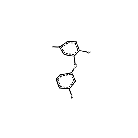 Cc1ccc(F)c(Oc2cccc(F)c2)c1